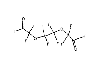 O=C(F)C(F)(F)OC(F)(F)C(F)(F)OC(F)(F)C(=O)F